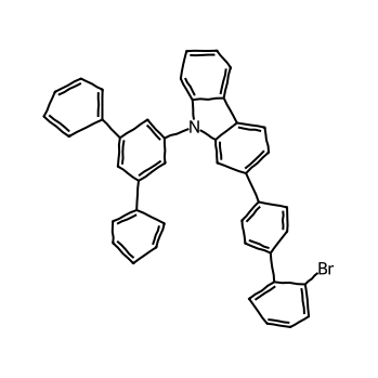 Brc1ccccc1-c1ccc(-c2ccc3c4ccccc4n(-c4cc(-c5ccccc5)cc(-c5ccccc5)c4)c3c2)cc1